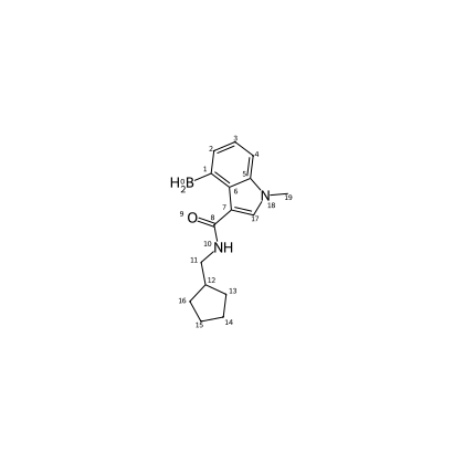 Bc1cccc2c1c(C(=O)NCC1CCCC1)cn2C